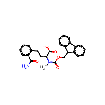 CN(C(=O)OCC1c2ccccc2-c2ccccc21)[C@@H](CCc1ccccc1C(N)=O)C(=O)O